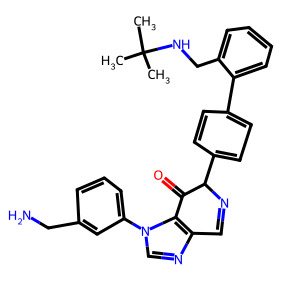 CC(C)(C)NCc1ccccc1-c1ccc(C2N=Cc3ncn(-c4cccc(CN)c4)c3C2=O)cc1